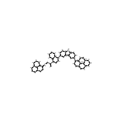 C=C(C=C=c1ccc2cccc3cccc1c32)c1ccc(-c2ccc3oc4ccc(-c5ccc6ccc7cccc8ccc5c6c78)cc4c3c2)c2ccccc12